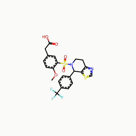 COc1ccc(CC(=O)O)cc1S(=O)(=O)N1CCc2ncsc2C1c1ccc(C(F)(F)F)cc1